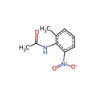 CC(=O)Nc1c(C)cccc1[N+](=O)[O-]